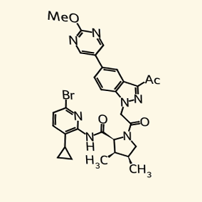 COc1ncc(-c2ccc3c(c2)c(C(C)=O)nn3CC(=O)N2C[C@@H](C)[C@@H](C)[C@H]2C(=O)Nc2nc(Br)ccc2C2CC2)cn1